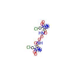 COC(=O)CC1N=C(c2ccc(Cl)cc2)c2c(sc(C(=O)NCCOCCOCCNC(=O)c3sc4c(c3C)C(c3ccc(Cl)cc3)=NC(CC(=O)OC)c3nnc(C)n3-4)c2C)-n2c(C)nnc21